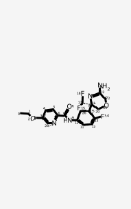 CCOc1ccc(C(=O)NC2=CC=C(F)C([C@]3(C(F)F)COCC(N)=N3)C2)nc1